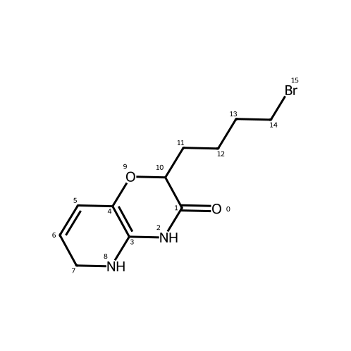 O=C1NC2=C(C=CCN2)OC1CCCCBr